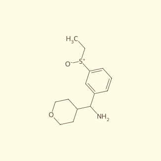 CC[S+]([O-])c1cccc(C(N)C2CCOCC2)c1